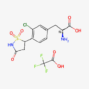 N[C@@H](Cc1ccc(C2CC(=O)NS2(=O)=O)c(Cl)c1)C(=O)O.O=C(O)C(F)(F)F